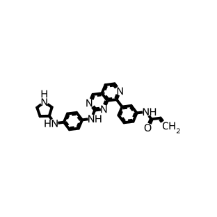 C=CC(=O)Nc1cccc(-c2nccc3cnc(Nc4ccc(NC5CCNC5)cc4)nc23)c1